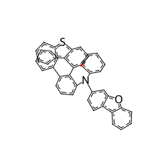 c1ccc(-c2cccc(N(c3ccccc3)c3ccc4c(c3)oc3ccccc34)c2-c2cccc3sc4ccccc4c23)cc1